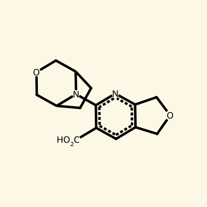 O=C(O)c1cc2c(nc1N1C3CCC1COC3)COC2